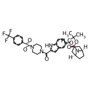 CC(C)(C)OC(=O)N1[C@@H]2CC[C@H]1C[C@H](Oc1ccc3[nH]c(C(=O)N4CCN(S(=O)(=O)c5ccc(C(F)(F)F)cc5)CC4)cc3c1)C2